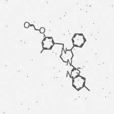 Cc1cc(CN2CCN(c3nc4ccc(C)cc4s3)CC2c2ccccc2)cc(OCC=O)c1